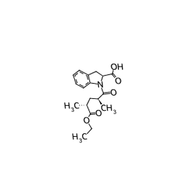 CCOC(=O)[C@H](C)C[C@H](C)C(=O)N1c2ccccc2CC1C(=O)O